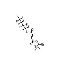 CCC(OC(=O)/C=C/C(=O)OC(F)(F)C(F)(F)C(F)(F)C(C)(F)F)[Si](C)(C)C